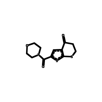 O=C1CCSc2sc(C(=O)N3CCOCC3)cc21